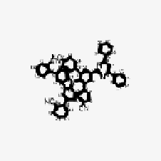 N#Cc1ccc(-c2cc(-c3nc(-c4ccccc4)cc(-c4ccccc4)n3)cc(-c3ccc(C#N)cc3)c2-n2c3ccc(-c4ccccc4C#N)cc3c3cc(-c4ccccc4C#N)ccc32)cc1